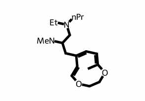 CCCN(CC)CC(CC1=C/C=C(\C)OCCO\C=C\1)NC